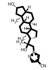 C[C@]12C[C@H](O)C[C@@H]1CC[C@@H]1[C@@H]2CC[C@@]2(C)[C@H]1CC[C@@H]2[C@@](C)(O)Cn1cc(C#N)cn1